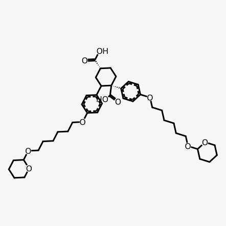 O=C(O)[C@@H]1CC[C@](C(=O)O)(c2ccc(OCCCCCCOC3CCCCO3)cc2)C(c2ccc(OCCCCCCOC3CCCCO3)cc2)C1